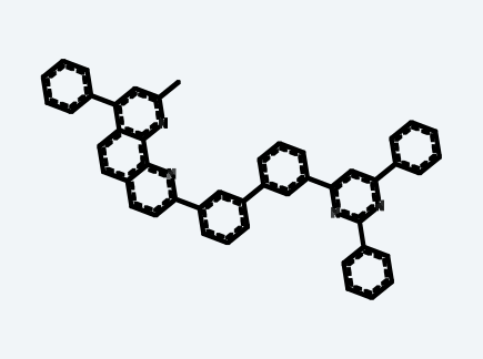 Cc1cc(-c2ccccc2)c2ccc3ccc(-c4cccc(-c5cccc(-c6cc(-c7ccccc7)nc(-c7ccccc7)n6)c5)c4)nc3c2n1